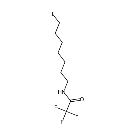 O=C(NCCCCCCCI)C(F)(F)F